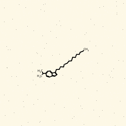 CCCCCCCCCCCCCCCc1ccc2ccc(C(C)C)ccc1-2